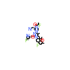 C=C(F)C(=O)N1CCN(c2nc(OC[C@@H]3C[C@@H](F)CN3C)nc(CC3(C(C)=O)CCCc4c(F)cc(C)cc43)c2C)C[C@@H]1CC#N